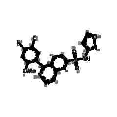 COc1cc(F)c(Cl)cc1-c1nccc2cc(S(=O)(=O)Nc3ccon3)ccc12